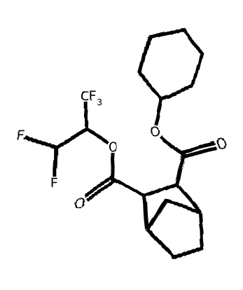 O=C(OC1CCCCC1)C1C2CCC(C2)C1C(=O)OC(C(F)F)C(F)(F)F